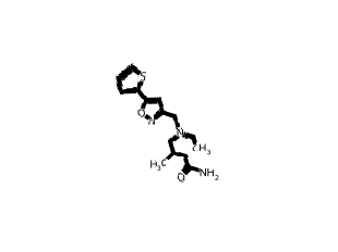 CCN(Cc1cc(-c2cccs2)on1)CC(C)CC(N)=O